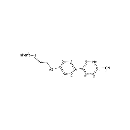 CCCCCC=CCOc1ccc(-c2cnc(C#N)nc2)cc1